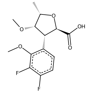 COc1c([C@@H]2[C@H](OC)[C@H](C)O[C@H]2C(=O)O)ccc(F)c1F